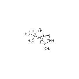 CC(C)(C)N1C[C@@]2(C)C[C@@H]1CN2